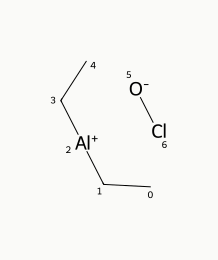 C[CH2][Al+][CH2]C.[O-]Cl